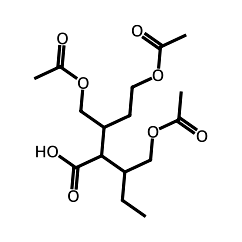 CCC(COC(C)=O)C(C(=O)O)C(CCOC(C)=O)COC(C)=O